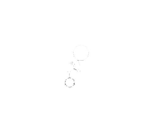 CC1(NC(=O)Oc2ccccc2)CCCCCCCC1